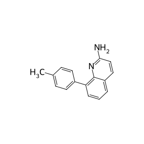 Cc1ccc(-c2cccc3ccc(N)nc23)cc1